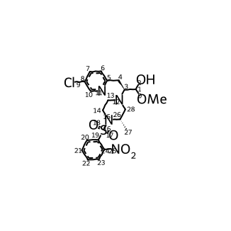 COC(O)[C@H](Cc1ccc(Cl)cn1)N1CCN(S(=O)(=O)c2ccccc2[N+](=O)[O-])[C@@H](C)C1